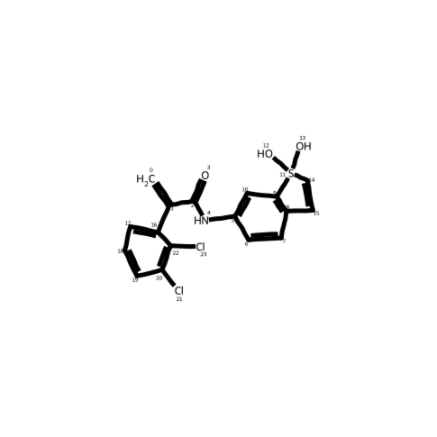 C=C(C(=O)Nc1ccc2c(c1)S(O)(O)C=C2)c1cccc(Cl)c1Cl